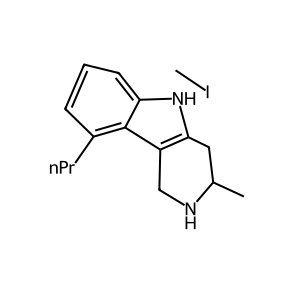 CCCc1cccc2[nH]c3c(c12)CNC(C)C3.CI